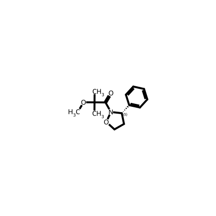 COC(C)(C)C(=O)N1OCC[C@H]1c1ccccc1